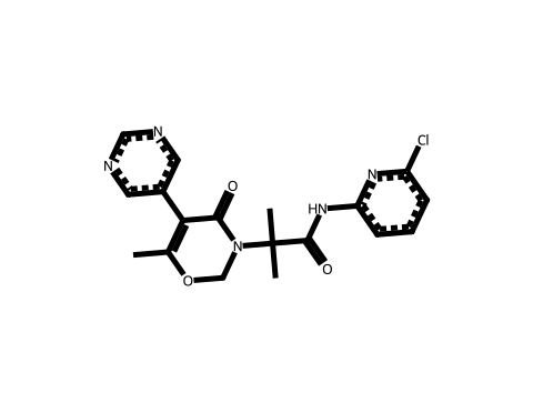 CC1=C(c2cncnc2)C(=O)N(C(C)(C)C(=O)Nc2cccc(Cl)n2)CO1